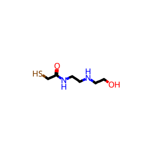 O=C(CS)NCCNCCO